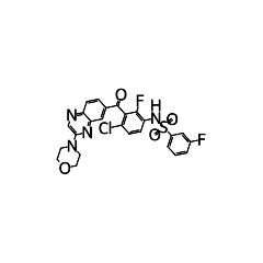 O=C(c1ccc2ncc(N3CCOCC3)nc2c1)c1c(Cl)ccc(NS(=O)(=O)c2cccc(F)c2)c1F